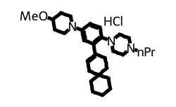 CCCN1CCN(c2ccc(N3CCC(OC)CC3)cc2C2=CCC3(CCCCC3)CC2)CC1.Cl